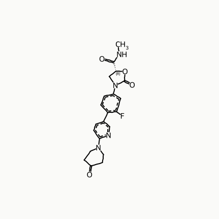 CNC(=O)[C@H]1CN(c2ccc(-c3ccc(N4CCC(=O)CC4)nc3)c(F)c2)C(=O)O1